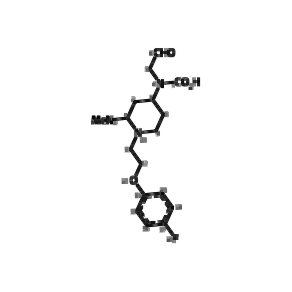 CNC1CC(N(CC=O)C(=O)O)CCN1CCOc1ccc(F)cc1